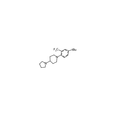 CC(C)(C)c1ccc(N2CCC(N3CCCC3)CC2)c(C(F)(F)F)c1